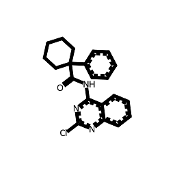 O=C(Nc1nc(Cl)nc2ccccc12)C1(c2ccccc2)CCCCC1